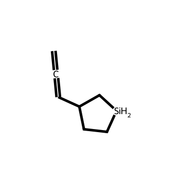 C=C=CC1CC[SiH2]C1